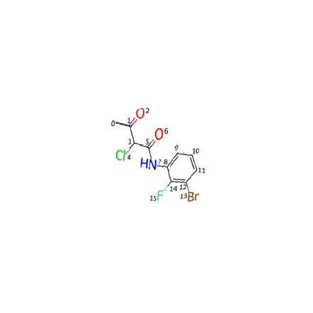 CC(=O)C(Cl)C(=O)Nc1cccc(Br)c1F